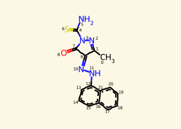 CC1=NN(C(N)=S)C(=O)C1=NNc1cccc2ccccc12